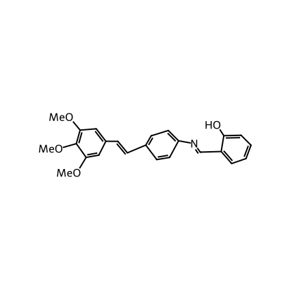 COc1cc(C=Cc2ccc(N=Cc3ccccc3O)cc2)cc(OC)c1OC